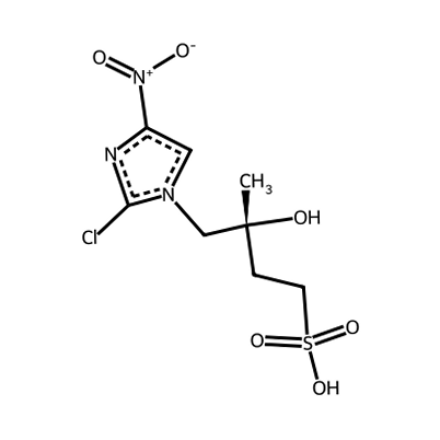 C[C@@](O)(CCS(=O)(=O)O)Cn1cc([N+](=O)[O-])nc1Cl